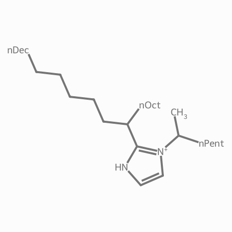 CCCCCCCCCCCCCCCC(CCCCCCCC)c1[nH]cc[n+]1C(C)CCCCC